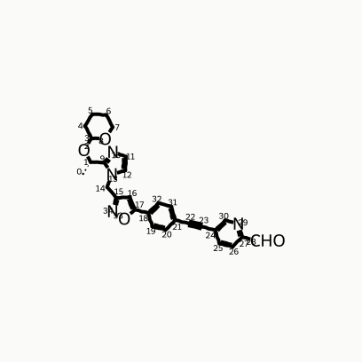 C[C@H](OC1CCCCO1)c1nccn1Cc1cc(-c2ccc(C#Cc3ccc(C=O)nc3)cc2)on1